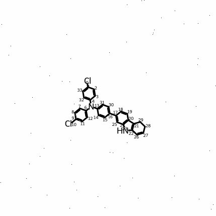 Clc1ccc(N(c2ccc(Cl)cc2)c2ccc(-c3ccc4c5c([nH]c4c3)C=CCC5)cc2)cc1